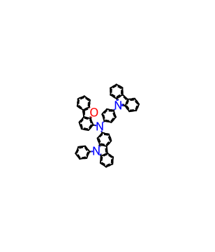 c1ccc(-n2c3ccccc3c3ccc(N(c4ccc(-n5c6ccccc6c6ccccc65)cc4)c4cccc5c4oc4ccccc45)cc32)cc1